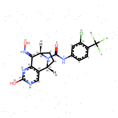 O=C(Nc1ccc(C(F)(F)F)c(Cl)c1)N1[C@@H]2CC[C@H]1C(=NO)c1nc(O)ncc12